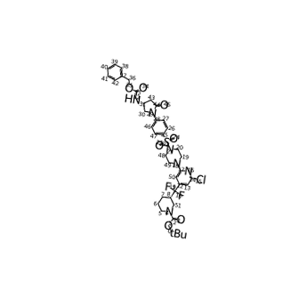 CC(C)(C)OC(=O)N1CCC[C@@H](C(F)(F)c2cc(Cl)nc(N3CCN(S(=O)(=O)c4ccc(N5C[C@H](NC(=O)OCc6ccccc6)CC5=O)cc4)CC3)c2)C1